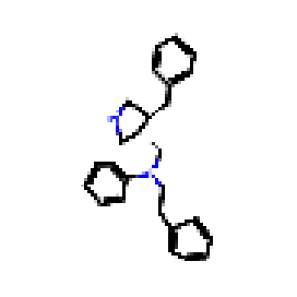 c1ccc(CCN(C[C@@H]2CNC[C@H]2Cc2ccccc2)c2ccccc2)cc1